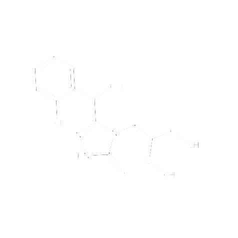 COC(Cn1c(C(O)c2ccccc2Cl)n[nH]c1=S)OC